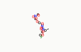 C#Cc1cccc(N(CC(=O)N2CCOC(c3ccc(OCc4ccc(C(=O)N(C)Cc5ccco5)o4)cc3)C2)C(=O)c2ccc(COc3ccccc3F)o2)c1